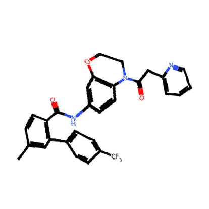 Cc1ccc(C(=O)Nc2ccc3c(c2)OCCN3C(=O)Cc2ccccn2)c(-c2ccc(C(F)(F)F)cc2)c1